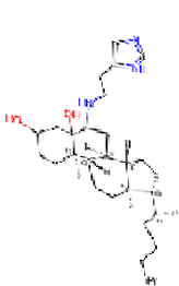 CC(C)CCC[C@@H](C)[C@H]1CC[C@H]2[C@@H]3CC(NCCc4cnc[nH]4)C4(O)CC(O)CC[C@]4(C)[C@H]3CC[C@]12C